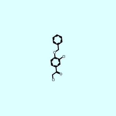 O=C(CCl)c1ccc(OCc2ccccc2)c(Cl)c1